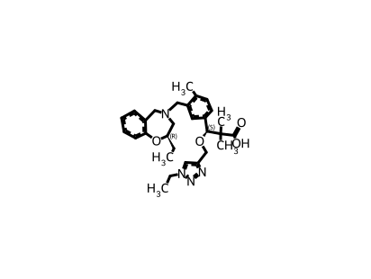 CC[C@@H]1CN(Cc2cc([C@H](OCc3cn(CC)nn3)C(C)(C)C(=O)O)ccc2C)Cc2ccccc2O1